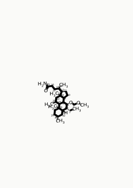 CC[C@H]1[C@@H](OCOC)C2C3CC[C@H]([C@H](C)CCC(N)=O)[C@@]3(C)C[C@H](C)C2[C@@]2(C)CC[C@@H](C)C[C@@H]12